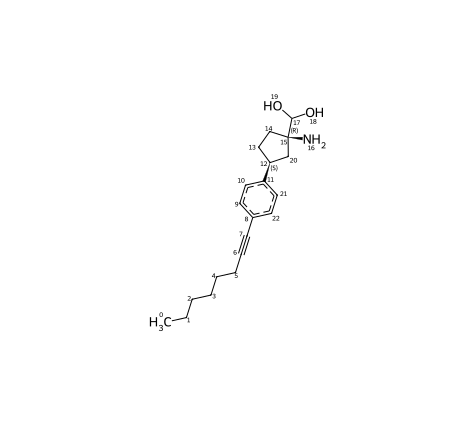 CCCCCCC#Cc1ccc([C@H]2CC[C@](N)(C(O)O)C2)cc1